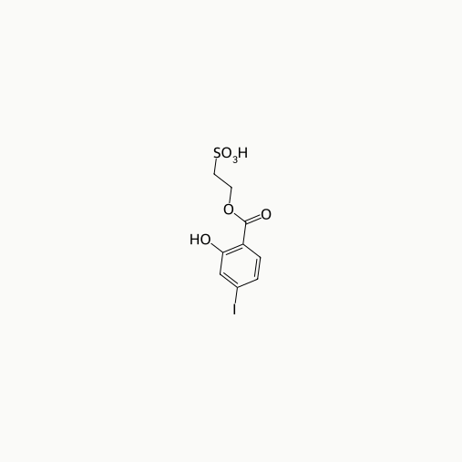 O=C(OCCS(=O)(=O)O)c1ccc(I)cc1O